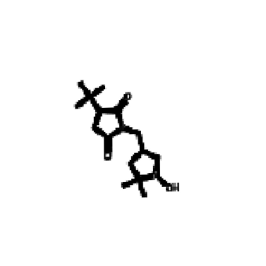 CC(C)(C)C1CC(=O)N(CC2CN(O)C(C)(C)C2)C1=O